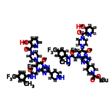 CCc1c(N2CCN(C(=O)c3ncccc3O)CC2)c(=O)n2nc(C3=CCN(C(=O)OC(C)(C)C)CC3)nc2n1CC(=O)Nc1ccc(C(F)(F)F)cc1C.CCc1c(N2CCN(C(=O)c3ncccc3O)CC2)c(=O)n2nc(C3=CCNCC3)nc2n1CC(=O)Nc1ccc(C(F)(F)F)cc1C